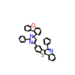 c1ccc(-c2nc(-c3ccc4sc5c6ccccc6nc(-c6ccccc6)c5c4c3)cc(-c3cccc4oc5ccccc5c34)n2)cc1